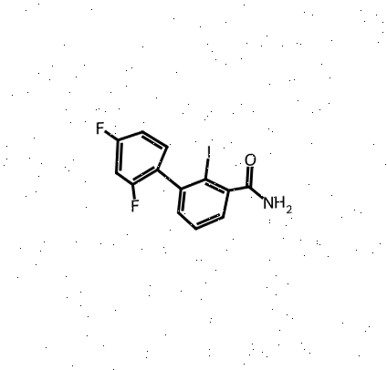 NC(=O)c1cccc(-c2ccc(F)cc2F)c1I